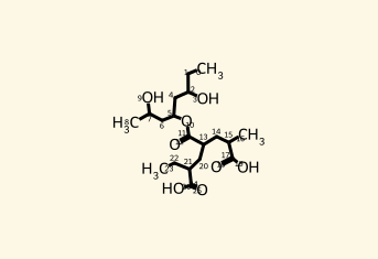 CCC(O)CC(CC(C)O)OC(=O)C(CC(C)C(=O)O)CC(CC)C(=O)O